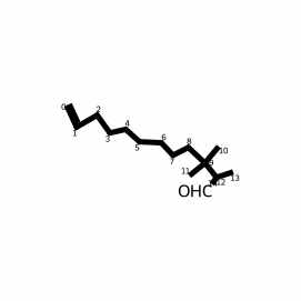 C=CCCCCCCCC(C)(C)C(C)C=O